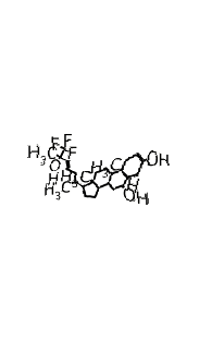 CC(C/C=C/C(C)(O)C(F)(F)F)C1CCC2C3C[C@H](O)[C@@H]4C[C@H](O)CCC4(C)C3CCC12C